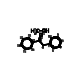 CO.O=C(Cc1ccccc1)c1ccccc1